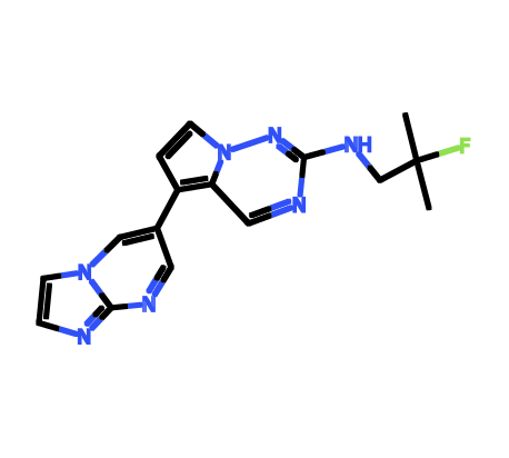 CC(C)(F)CNc1ncc2c(-c3cnc4nccn4c3)ccn2n1